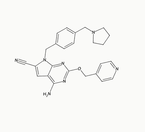 N#Cc1cc2c(N)nc(OCc3ccncc3)nc2n1Cc1ccc(CN2CCCC2)cc1